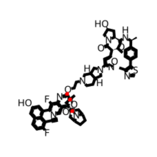 C#Cc1c(F)ccc2cc(O)cc(-c3ncc4c(N5CC6CCC(C5)N6C(=O)OC(C)(C)C)nc(OCCN5CC[C@H]6CN(c7cc([C@H](C(=O)N8C[C@H](O)C[C@H]8C(=O)N[C@@H](C)c8ccc(-c9scnc9C)cc8)C(C)C)on7)C[C@H]6C5)nc4c3F)c12